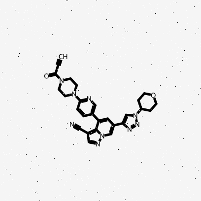 C#CC(=O)N1CCN(c2ccc(-c3cc(-c4cn(C5CCOCC5)nn4)cn4ncc(C#N)c34)cn2)CC1